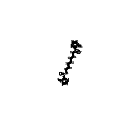 Cn1ccnc1[S+]([O-])CCCCCCCC[S+]([O-])c1nccn1C